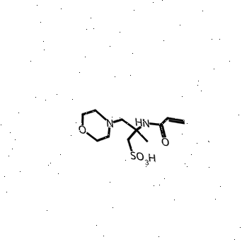 C=CC(=O)NC(C)(CN1CCOCC1)CS(=O)(=O)O